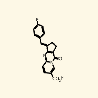 O=C(O)c1ccc2nc3c(c(=O)n2c1)CCC3=Cc1ccc(F)cc1